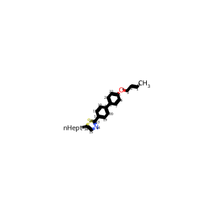 CC=CCOc1ccc(-c2ccc(-c3ncc(CCCCCCC)s3)cc2)cc1